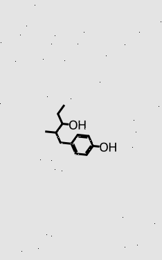 CCC(O)C(C)Cc1ccc(O)cc1